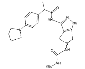 CCCCNC(=O)NN1Cc2[nH]nc(NC(=O)C(C)c3ccc(N4CCCC4)cc3)c2C1